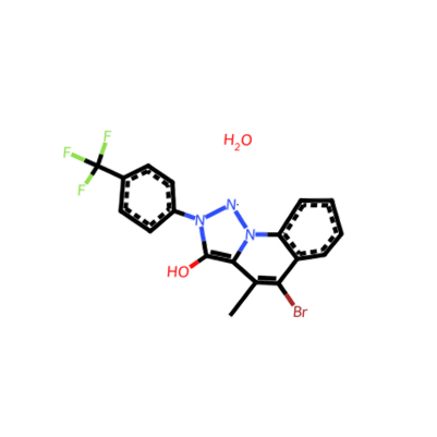 CC1=C(Br)c2ccccc2N2[N]N(c3ccc(C(F)(F)F)cc3)C(O)=C12.O